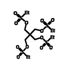 CCS(=O)(=O)OCC(COS(=O)(=O)CC)(COS(=O)(=O)CC)COS(=O)(=O)CC